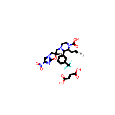 C=CCC1C(c2cccc(C(F)(F)F)c2)N(CC2(C)Cn3cc([N+](=O)[O-])nc3O2)CCN1C(=O)O.O=C(O)C=CC(=O)O